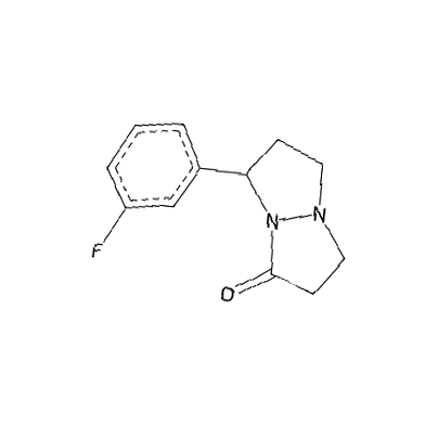 O=C1CCN2CCC(c3cccc(F)c3)N12